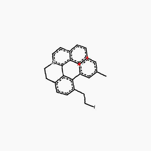 Cc1ccnc(-c2c(CCI)ccc3c2-c2c4ccccc4cc[n+]2CC3)c1